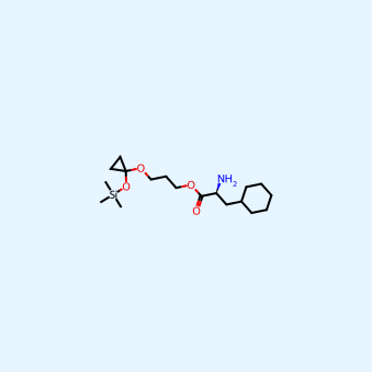 C[Si](C)(C)OC1(OCCCOC(=O)[C@@H](N)CC2CCCCC2)CC1